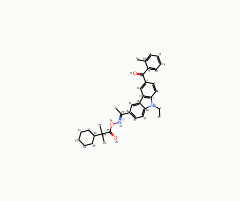 CCn1c2ccc(C(=O)c3ccccc3C)cc2c2cc(/C(C)=N/OC(=O)C(C)(C)C3CCCCC3)ccc21